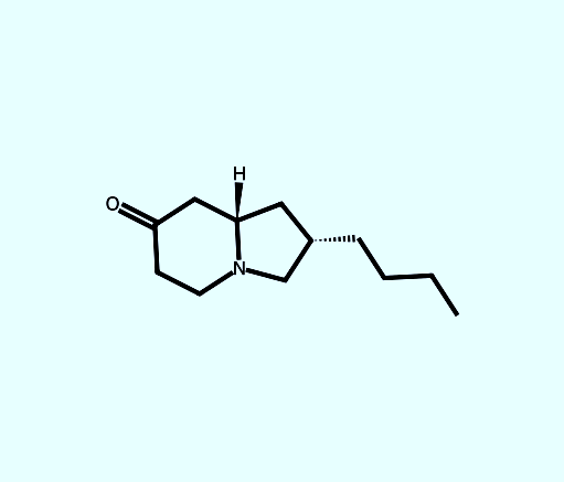 CCCC[C@H]1C[C@H]2CC(=O)CCN2C1